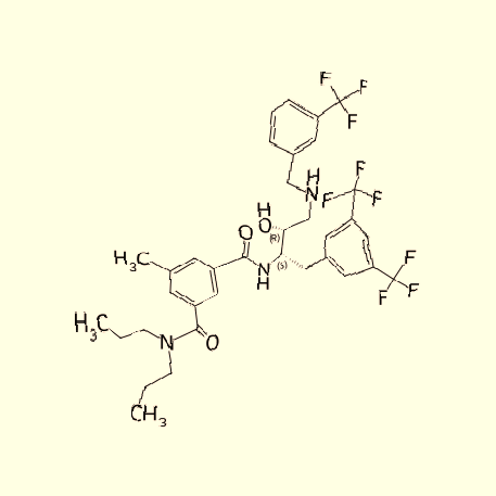 CCCN(CCC)C(=O)c1cc(C)cc(C(=O)N[C@@H](Cc2cc(C(F)(F)F)cc(C(F)(F)F)c2)[C@H](O)CNCc2cccc(C(F)(F)F)c2)c1